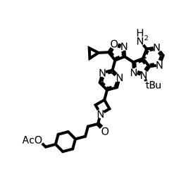 CC(=O)OCC1CCC(CCC(=O)N2CC(c3cnc(-c4c(-c5nn(C(C)(C)C)c6ncnc(N)c56)noc4C4CC4)nc3)C2)CC1